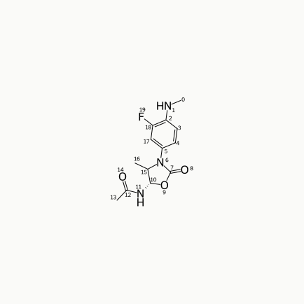 CNc1ccc(N2C(=O)O[C@H](NC(C)=O)C2C)cc1F